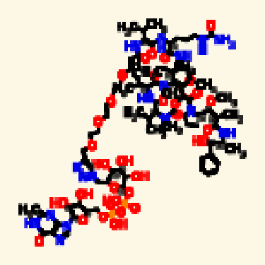 CC[C@H](C)[C@@H]([C@@H](CC(=O)N1CCC[C@H]1[C@H](OC)[C@@H](C)C(=O)N[C@H](C)[C@@H](O)c1ccccc1)OC)N(C)C(=O)[C@@H](NC(=O)[C@H](C(C)C)N(C)C(=O)OCc1ccc(NC(=O)[C@H](CCCNC(N)=O)NC(=O)[C@@H](NC(=O)CCOCCOCCOCCOCc2cn(CC3O[C@H](OP(=O)(O)OP(=O)(O)OC[C@H]4O[C@@H](n5cnc6c(=O)[nH]c(C)nc65)[C@@H](O)C4O)C(O)[C@@H](O)[C@@H]3O)nn2)C(C)C)cc1)C(C)C